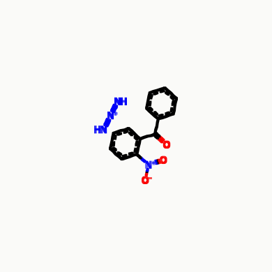 N=[N+]=N.O=C(c1ccccc1)c1ccccc1[N+](=O)[O-]